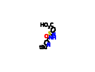 CC(C)(C)c1ccc(C(=O)Nc2nc3ccc(C(=O)O)cc3s2)cn1